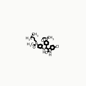 CC(=O)N(CCCN(C)C)c1ccc(N/C(=C2\C(=O)Nc3cc(Cl)ccc32)c2ccc3c(c2)OCCN3C)cc1